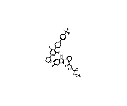 COC(=O)NCC(=O)N1CCC[C@H]1c1nc2cc(F)c([C@H]3CCCN3c3cc(F)c(N4CCN(c5ccc(C(F)(F)F)cc5)CC4)c(F)c3)cc2[nH]1